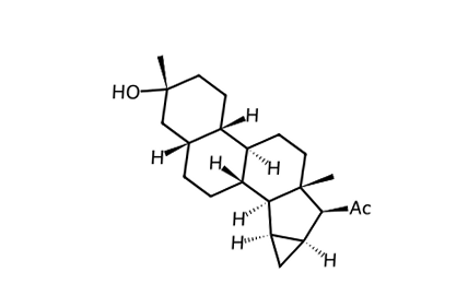 CC(=O)[C@H]1[C@H]2C[C@H]2[C@H]2[C@@H]3CC[C@@H]4C[C@](C)(O)CC[C@@H]4[C@H]3CC[C@@]21C